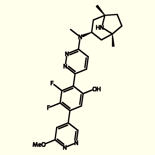 COc1cc(-c2cc(O)c(-c3ccc(N(C)[C@H]4C[C@]5(C)CC[C@](C)(C4)N5)nn3)c(F)c2F)cnn1